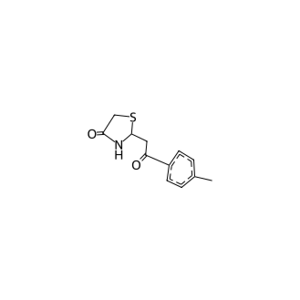 Cc1ccc(C(=O)CC2NC(=O)CS2)cc1